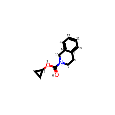 O=C(OC1CC1)N1CCc2ccccc2C1